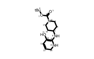 CC(C)(C)OC(=O)N1CCC(NC2=C(O)C=CCN2)CC1